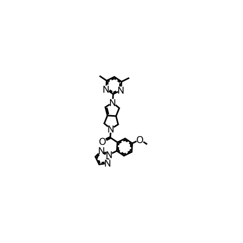 COc1ccc(-n2nccn2)c(C(=O)N2CC3=CN(c4nc(C)cc(C)n4)CC3C2)c1